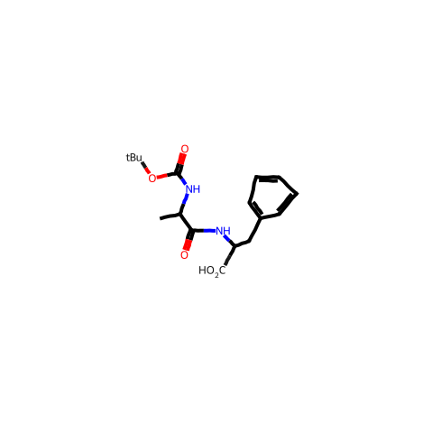 CC(NC(=O)OC(C)(C)C)C(=O)NC(Cc1ccccc1)C(=O)O